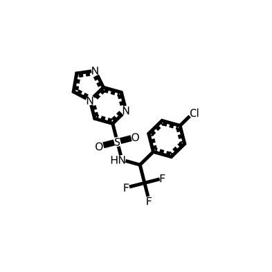 O=S(=O)(NC(c1ccc(Cl)cc1)C(F)(F)F)c1cn2ccnc2cn1